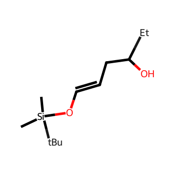 CCC(O)CC=CO[Si](C)(C)C(C)(C)C